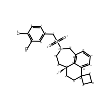 O=S(=O)(Cc1ccc(Cl)c(Cl)c1)N1CC[C@H]2CCC3(CCC3)c3cccc(c32)C1